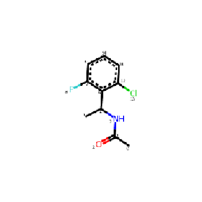 CC(=O)NC(C)c1c(F)cccc1Cl